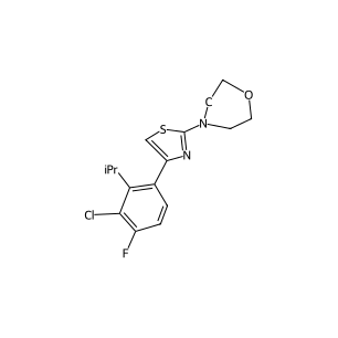 CC(C)c1c(-c2csc(N3CCOCC3)n2)ccc(F)c1Cl